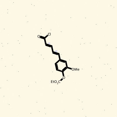 CCOC(=O)Oc1ccc(/C=C/C=C/C(=O)Cl)cc1OC